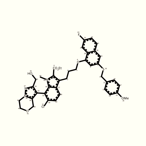 CCOC(=O)c1c(CCCOc2cc(SCc3ccc(OC)cc3)cc3ccc(F)cc23)c2ccc(Cl)c(-c3c(CO)nn4c3COCC4)c2n1C